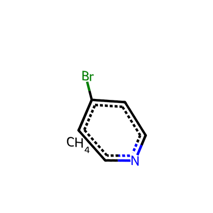 Brc1ccncc1.C